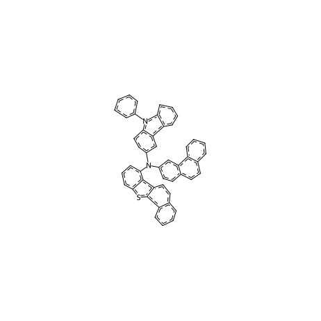 c1ccc(-n2c3ccccc3c3cc(N(c4ccc5ccc6ccccc6c5c4)c4cccc5sc6c7ccccc7ccc6c45)ccc32)cc1